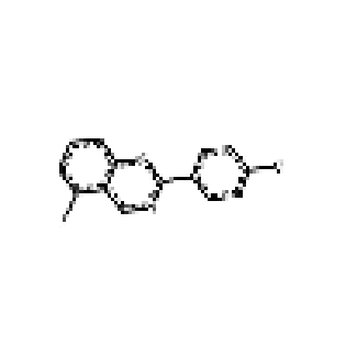 Fc1cccc2nc(-c3ccc(Cl)cc3)ncc12